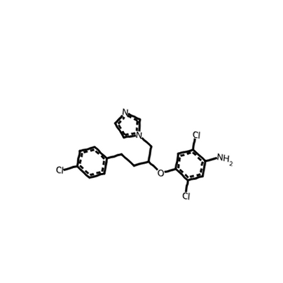 Nc1cc(Cl)c(OC(CCc2ccc(Cl)cc2)Cn2ccnc2)cc1Cl